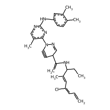 C=C/C=C(Cl)\C=C(/C)C(CC)NC(=C)C1C#CN(c2nc(Nc3ccc(C)c(C)c3)ncc2C)N=C1